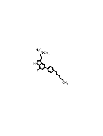 CCCCCCc1ccc(-c2cc(F)c3[nH]cc(CCN(C)C)c3c2)cc1